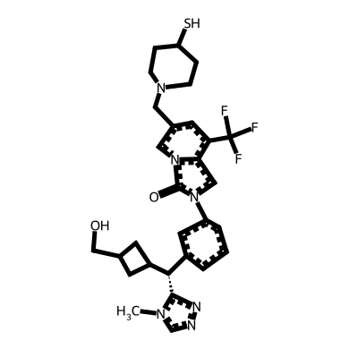 Cn1cnnc1[C@@H](c1cccc(-n2cc3c(C(F)(F)F)cc(CN4CCC(S)CC4)cn3c2=O)c1)C1CC(CO)C1